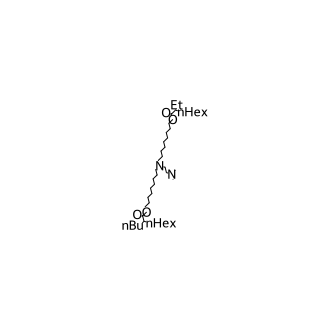 CCCCCCC(CC)C(=O)OCCCCCCCCCN(CCCCCCCCCOC(=O)C(CCCC)CCCCCC)CCN(C)C